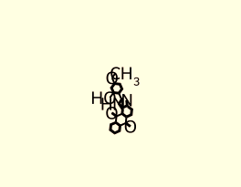 COc1ccc(-c2nc3ccc4c(c3[nH]2)C(=O)c2ccccc2C4=O)c(O)c1